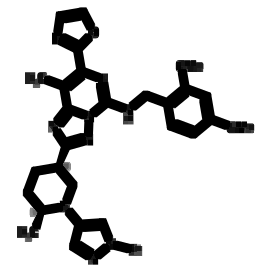 CCn1cc(N2C[C@H](c3nc4c(C)c(-c5ncco5)nc(NCc5ccc(OC)cc5OC)n4n3)CC[C@@H]2C)cn1